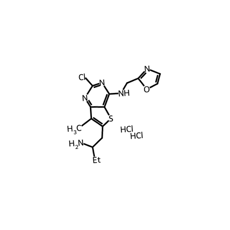 CCC(N)Cc1sc2c(NCc3ncco3)nc(Cl)nc2c1C.Cl.Cl